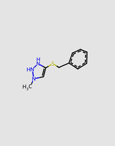 CN1C=C(SCc2ccccc2)NN1